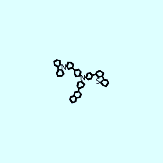 c1cc(-c2ccc(N(c3ccc(-c4ccc5ccccc5c4)cc3)c3ccc(-c4cccc5c4sc4ccccc45)cc3)cc2)cc(-n2c3ccccc3c3ccccc32)c1